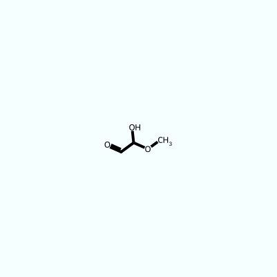 COC(O)C=O